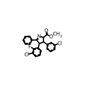 COC(=O)C1N=C(c2ccccc2)C(c2cccc(Cl)c2F)C1c1cccc(Cl)c1